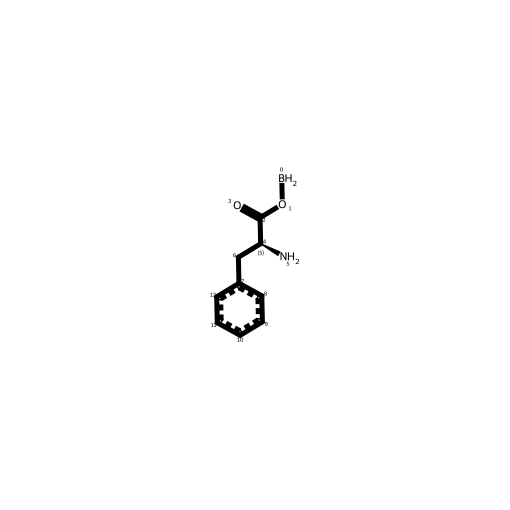 BOC(=O)[C@@H](N)Cc1ccccc1